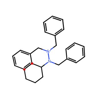 c1ccc(CN(C2CCCCC2)[N+](Cc2ccccc2)Cc2ccccc2)cc1